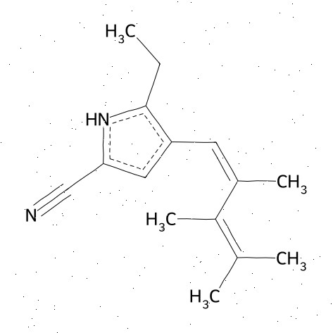 CCc1[nH]c(C#N)cc1/C=C(/C)C(C)=C(C)C